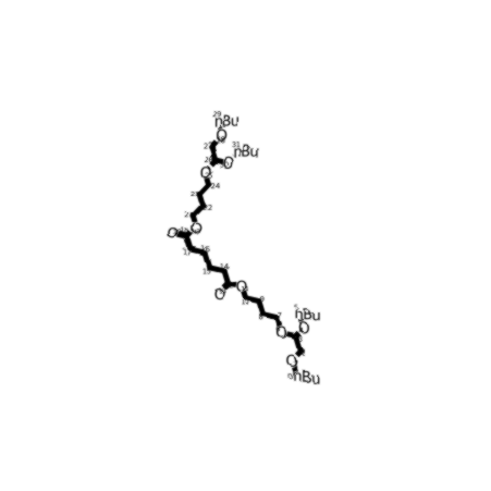 CCCCOCC(OCCCC)OCCCCOC(=O)CCCCC(=O)OCCCCOC(COCCCC)OCCCC